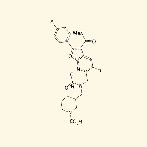 CNC(=O)c1c(-c2ccc(F)cc2)oc2nc(CN(CC3CCCN(C(=O)O)C3)[SH](=O)=O)c(I)cc12